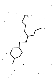 CCCC(CCCP)CCC1CCC(C)CC1